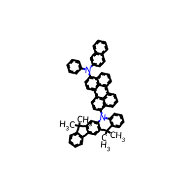 CC1(C)c2ccccc2-c2cc3c(cc21)N(c1ccc2c4ccc(N(c5ccccc5)c5ccc6ccccc6c5)c5cccc(c6cccc1c62)c54)c1ccccc1C3(C)C